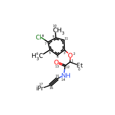 CCC(Oc1cc(C)c(Cl)c(C)c1)C(=O)NC#CC(C)C